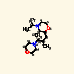 CC(C)C(C)N1CCOC(CC(C)[C@@H](C)N2CCOCC2)C1